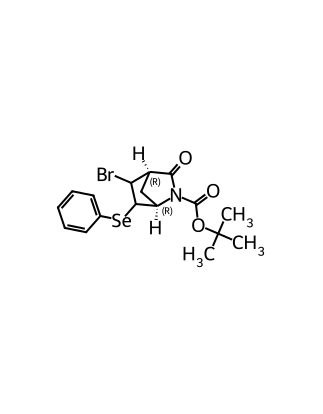 CC(C)(C)OC(=O)N1C(=O)[C@H]2C[C@@H]1C([Se]c1ccccc1)C2Br